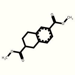 COC(=O)c1ccc2c(c1)CCC(C(=O)OC)C2